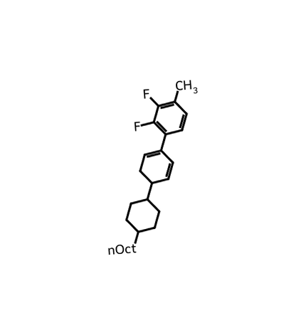 CCCCCCCCC1CCC(C2C=CC(c3ccc(C)c(F)c3F)=CC2)CC1